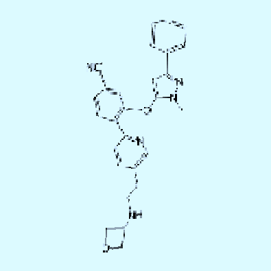 Cn1nc(-c2ccccc2)cc1Oc1cc(C#N)ccc1-c1ccc(CCNC2COC2)cn1